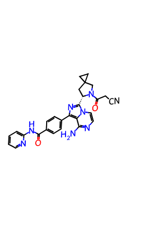 N#CCC(=O)N1CC2(CC2)C[C@H]1c1nc(-c2ccc(C(=O)Nc3ccccn3)cc2)c2c(N)nccn12